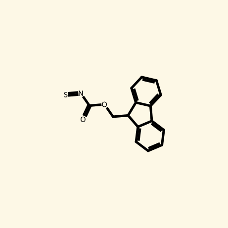 O=C(N=S)OCC1c2ccccc2-c2ccccc21